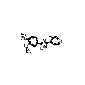 CCOc1ccc(-c2nc(-c3ccncc3C)no2)cc1OCC